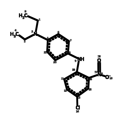 CCN(CC)c1ccc(Nc2ccc(Cl)cc2[N+](=O)[O-])cc1